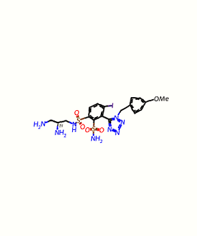 COc1ccc(Cn2nnnc2-c2c(I)ccc(S(=O)(=O)NC[C@@H](N)CN)c2S(N)(=O)=O)cc1